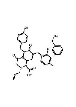 C=CCN1CC(=O)N2C(Cc3ccc(O)cc3)C(=O)N(Cc3ccc(F)cc3F)CC2N1C(=O)O.NCc1ccccc1